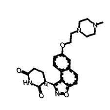 CN1CCN(CCOc2ccc3c(ccc4onc([C@@H]5CCC(=O)NC5=O)c43)c2)CC1